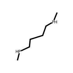 CPCCCCPC